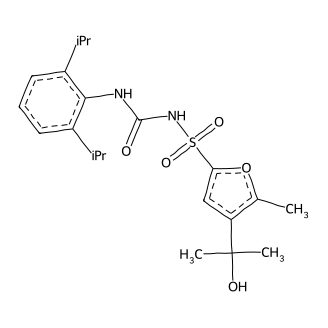 Cc1oc(S(=O)(=O)NC(=O)Nc2c(C(C)C)cccc2C(C)C)cc1C(C)(C)O